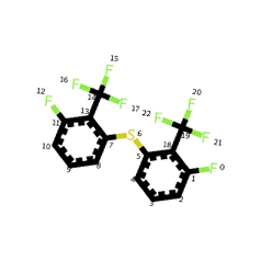 Fc1cccc(Sc2cccc(F)c2C(F)(F)F)c1C(F)(F)F